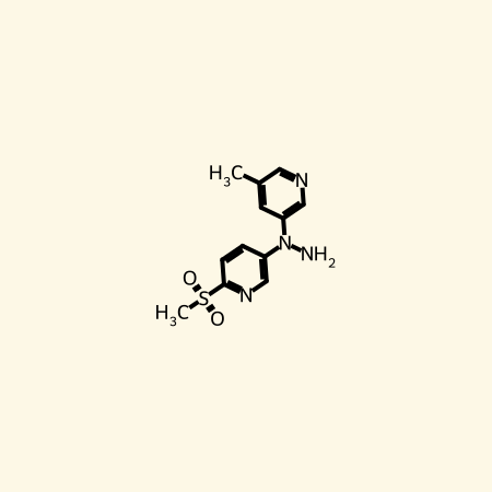 Cc1cncc(N(N)c2ccc(S(C)(=O)=O)nc2)c1